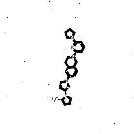 C[C@H]1CCCN1[C@H]1CCN(c2ccc3c(c2)CCN(c2cccc(N4CCCC4)n2)C3)C1